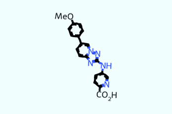 COc1ccc(-c2ccc3nc(Nc4ccc(C(=O)O)nc4)nn3c2)cc1